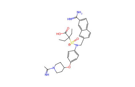 CCC(CC)(C(=O)O)S(=O)(=O)N(Cc1ccc2ccc(C(=N)N)cc2c1)c1ccc(OC2CCN(C(C)=N)CC2)cc1